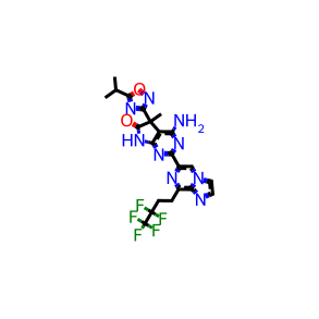 CC(C)c1nc(C2(C)C(=O)Nc3nc(-c4cn5ccnc5c(CCC(F)(F)C(F)(F)F)n4)nc(N)c32)no1